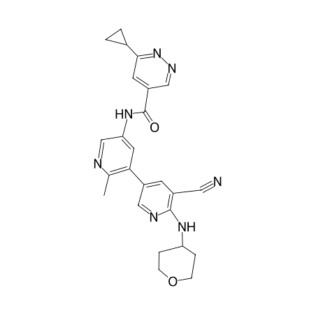 Cc1ncc(NC(=O)c2cnnc(C3CC3)c2)cc1-c1cnc(NC2CCOCC2)c(C#N)c1